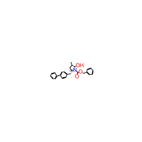 CC1C[C@@H](Cc2ccc(-c3ccccc3)cc2)N(C(=O)OCc2ccccc2)C1O